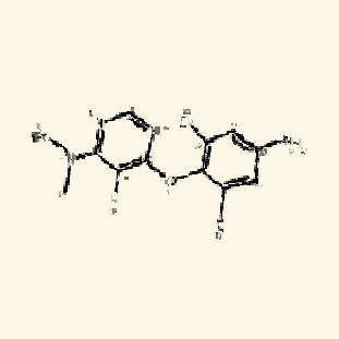 CC(C)N(C)c1ncnc(Oc2c(Cl)cc(N)cc2Cl)c1F